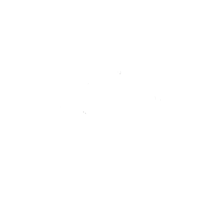 C=CCN/C(C)=C\C(=O)OC(S)CCC